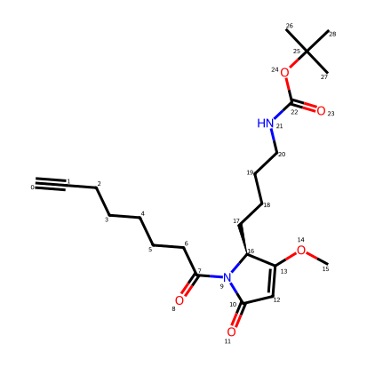 C#CCCCCCC(=O)N1C(=O)C=C(OC)[C@@H]1CCCCNC(=O)OC(C)(C)C